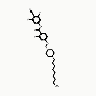 CCCCCCCCC[C@H]1CC[C@H](COc2ccc(C(=O)Oc3cc(F)c(C#N)c(F)c3)c(F)c2)CC1